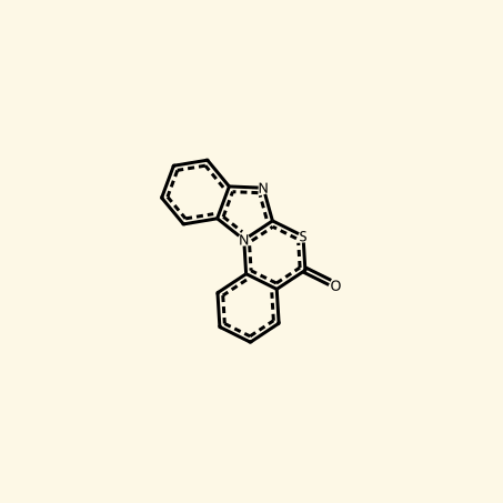 O=c1sc2nc3ccccc3n2c2ccccc12